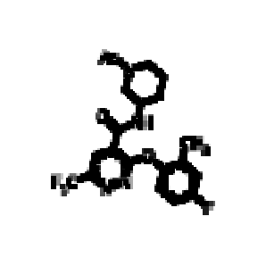 CC(=O)N1CCCC(NC(=O)c2cc(C(F)(F)F)nnc2Oc2ccc(F)cc2C)C1